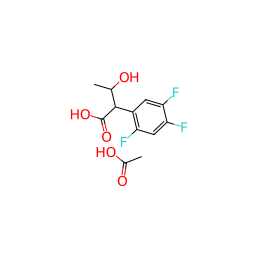 CC(=O)O.CC(O)C(C(=O)O)c1cc(F)c(F)cc1F